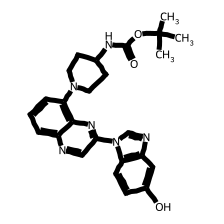 CC(C)(C)OC(=O)NC1CCN(c2cccc3ncc(-n4cnc5cc(O)ccc54)nc23)CC1